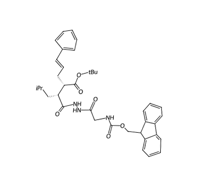 CC(C)C[C@@H](C(=O)NNC(=O)CNC(=O)OCC1c2ccccc2-c2ccccc21)[C@H](CC=Cc1ccccc1)C(=O)OC(C)(C)C